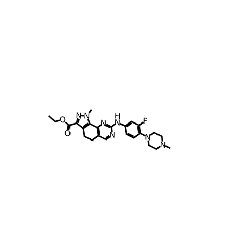 CCOC(=O)c1nn(C)c2c1CCc1cnc(Nc3ccc(N4CCN(C)CC4)c(F)c3)nc1-2